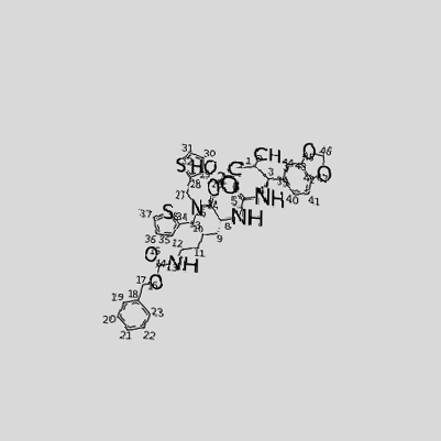 CC(C(=O)O)[C@H](NC(=O)N[C@H](CCCCNC(=O)OCc1ccccc1)C(=O)N(Cc1cccs1)Cc1cccs1)c1ccc2c(c1)OCO2